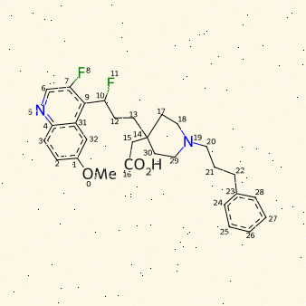 COc1ccc2ncc(F)c(C(F)CCC3(CC(=O)O)CCN(CCCc4ccccc4)CC3)c2c1